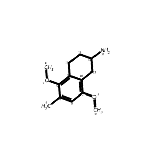 COc1cc(C)c(OC)c2c1CC(N)CC2